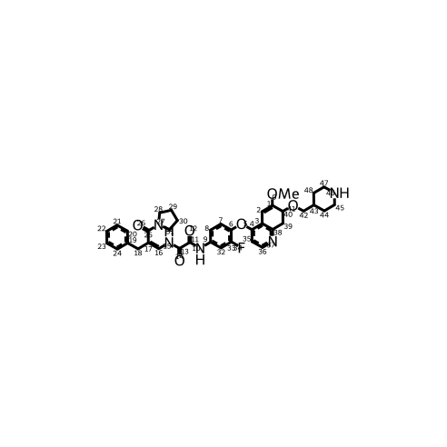 COC1=Cc2c(Oc3ccc(NC(=O)C(=O)N/C=C(/Cc4ccccc4)C(=O)N4CCCC4)cc3F)ccnc2CC1OCC1CCNCC1